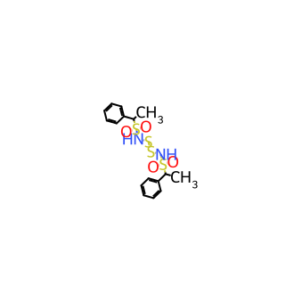 CC(c1ccccc1)S(=O)(=O)NSSNS(=O)(=O)C(C)c1ccccc1